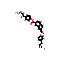 C=CCc1ccc(OC(=O)c2ccc3ccc(C(=O)Oc4ccc(CC=C)cc4)cc3c2)cc1